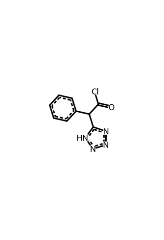 O=C(Cl)C(c1ccccc1)c1nnn[nH]1